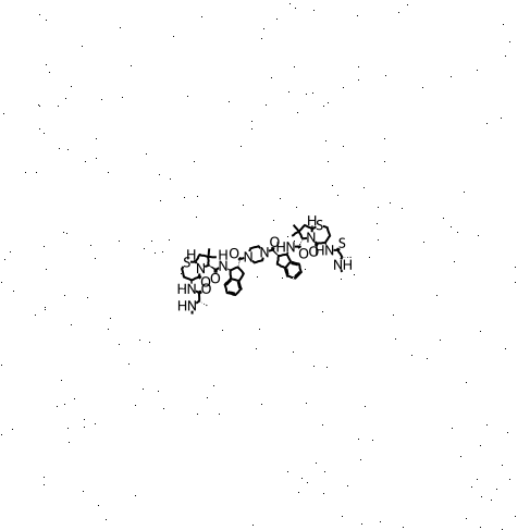 CN[C@@H](C)C(=O)N[C@H]1CCS[C@H]2CC(C)(C)[C@@H](C(=O)N[C@H]3c4ccccc4C[C@H]3C(=O)N3CCN(C(=O)[C@@H]4Cc5ccccc5[C@@H]4NC(=O)[C@H]4N5C(=O)[C@@H](NC(=S)[C@H](C)NC)CCS[C@H]5CC4(C)C)CC3)N2C1=O